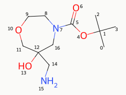 CC(C)(C)OC(=O)N1CCOCC(O)(CN)C1